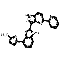 Cc1ccc(-c2cccc3[nH]c(-c4n[nH]c5ccc(-c6ccccn6)nc45)nc23)s1